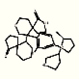 C[C@H]1CCC[N+]1(c1ccc(C2(C3CCCCC34CCCC4=O)COCCC23CCNC3=O)c(F)c1)[C@H]1CCNC1